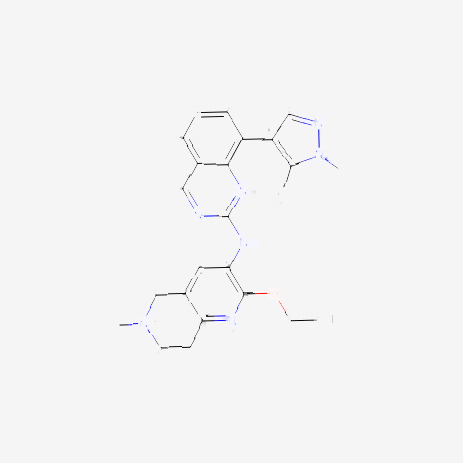 CCOc1nc2c(cc1Nc1ncc3cccc(-c4cnn(C)c4C)c3n1)CN(C)CC2